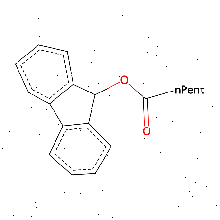 CCCCCC(=O)OC1c2ccccc2-c2ccccc21